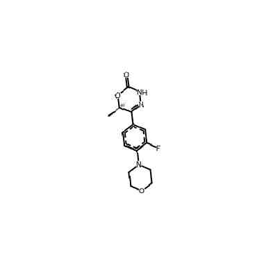 C[C@H]1OC(=O)NN=C1c1ccc(N2CCOCC2)c(F)c1